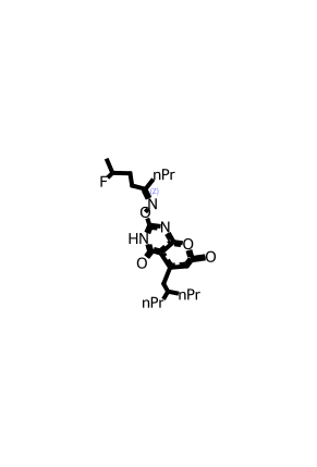 CCC/C(CCC(C)F)=N/Oc1nc2oc(=O)cc(CC(CCC)CCC)c2c(=O)[nH]1